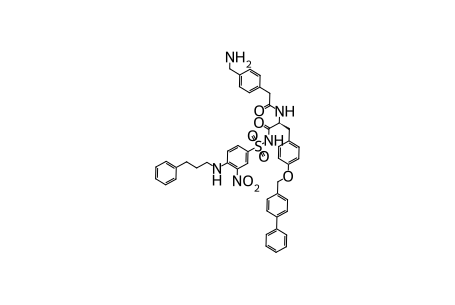 NCc1ccc(CC(=O)N[C@@H](Cc2ccc(OCc3ccc(-c4ccccc4)cc3)cc2)C(=O)NS(=O)(=O)c2ccc(NCCCc3ccccc3)c([N+](=O)[O-])c2)cc1